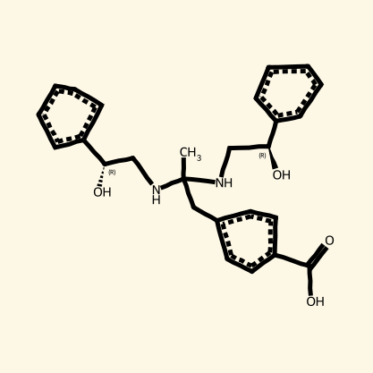 CC(Cc1ccc(C(=O)O)cc1)(NC[C@H](O)c1ccccc1)NC[C@H](O)c1ccccc1